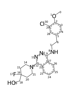 COc1ccc(CCNc2nnc(N3CCC(F)(CO)CC3)c3ccccc23)cc1Cl